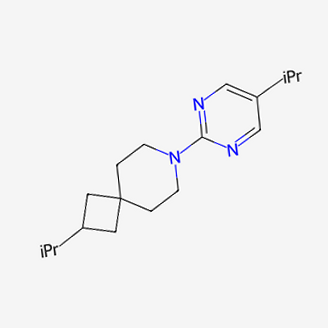 CC(C)c1cnc(N2CCC3(CC2)CC(C(C)C)C3)nc1